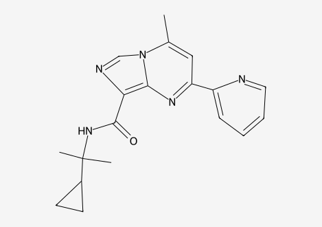 Cc1cc(-c2ccccn2)nc2c(C(=O)NC(C)(C)C3CC3)ncn12